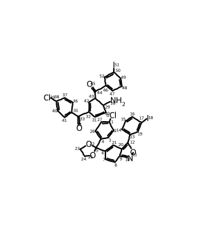 Clc1ccc(C2(c3ccc4noc(-c5cccc(I)c5)c4c3)OCCO2)cc1.NC1C=CC(C(=O)c2ccc(Cl)cc2)=CC1C(=O)c1cccc(I)c1